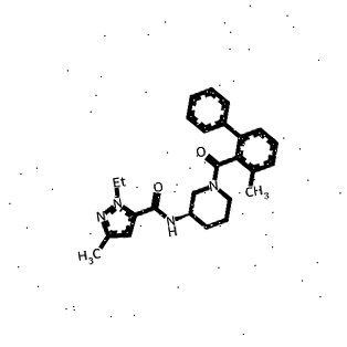 CCn1nc(C)cc1C(=O)N[C@@H]1CCCN(C(=O)c2c(C)cccc2-c2ccccc2)C1